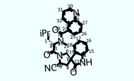 CC(C)C[C@@H](C(=O)N1C[C@]2(C[C@H]1C#N)C(=O)Nc1ccccc12)N(C)C(=O)c1cccc2ncccc12